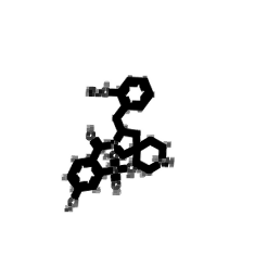 CC(C)COc1ccccc1CC1CC2(CCNCC2)CN1C(=O)c1ccc(Cl)cc1S(C)(=O)=O